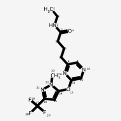 CCNC(=O)CCCc1cncc(Oc2cc(C(F)(F)F)nn2C)n1